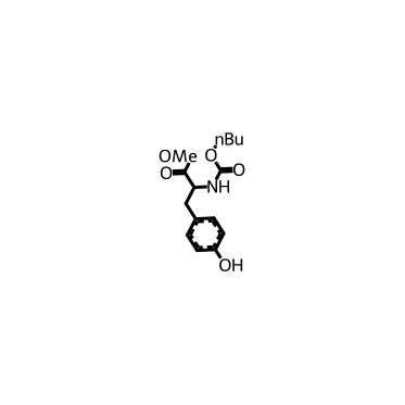 CCCCOC(=O)NC(Cc1ccc(O)cc1)C(=O)OC